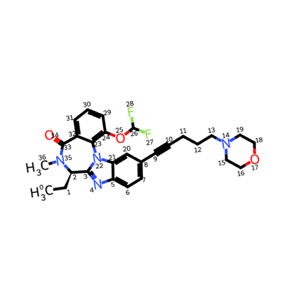 CC[C@@H]1c2nc3ccc(C#CCCCN4CCOCC4)cc3n2-c2c(OC(F)F)cccc2C(=O)N1C